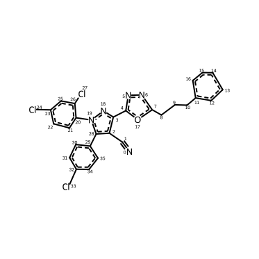 N#Cc1c(-c2nnc(CCCc3ccccc3)o2)nn(-c2ccc(Cl)cc2Cl)c1-c1ccc(Cl)cc1